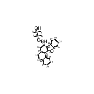 CC(C)(O)C(C)(C)OBc1cc2ccc3ccccc3c2c2oc3ccccc3c12